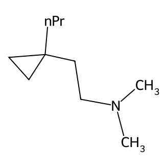 CCCC1(CCN(C)C)CC1